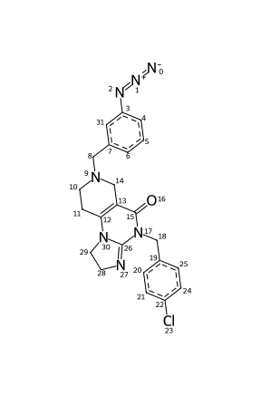 [N-]=[N+]=Nc1cccc(CN2CCC3=C(C2)C(=O)N(Cc2ccc(Cl)cc2)C2=NCCN23)c1